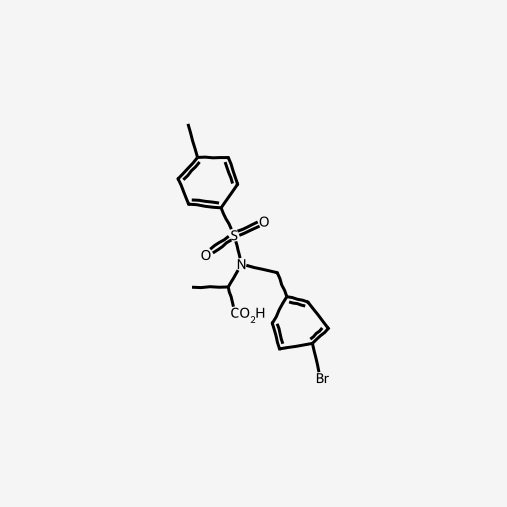 Cc1ccc(S(=O)(=O)N(Cc2ccc(Br)cc2)C(C)C(=O)O)cc1